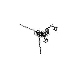 CCCCCCCCCCCCCCCC(=O)OC(COP(=O)(O)OCCN1C=CC(C=CC=C(C)C=CC2=C(C)CCCC2(C)C)=CC1C=C(C)C=CC=C(C)C=CC1=C(C)CCCC1(C)C)OC(=O)CCCCCCCCCCCCCCC